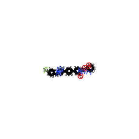 O=c1cc(-c2ccc(-c3cn(Cc4ccc(F)cc4)nn3)cc2)ccn1NOC1CCCCO1